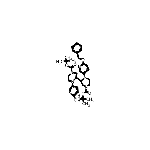 CC(C)(C)OC(=O)N1CCN(c2ccc(O)nc2)C(C2CN(C(=O)OC(C)(C)C)CCN2c2ccc(OCc3ccccc3)nc2)C1